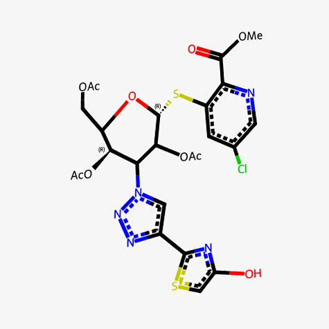 COC(=O)c1ncc(Cl)cc1S[C@H]1OC(COC(C)=O)[C@H](OC(C)=O)C(n2cc(-c3nc(O)cs3)nn2)C1OC(C)=O